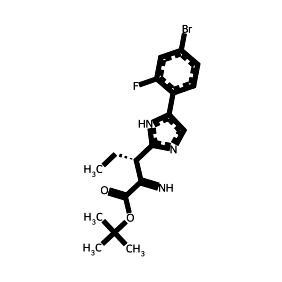 CC[C@@H](C(=N)C(=O)OC(C)(C)C)c1ncc(-c2ccc(Br)cc2F)[nH]1